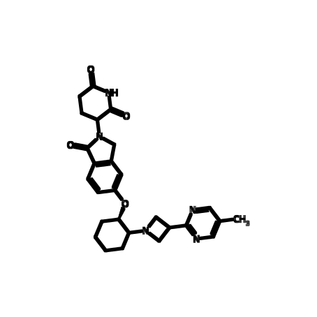 Cc1cnc(C2CN(C3CCCC[C@H]3Oc3ccc4c(c3)CN(C3CCC(=O)NC3=O)C4=O)C2)nc1